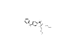 CCCCOC(OCCCC)C(=O)c1ccc(C(=O)c2ccccc2)cc1